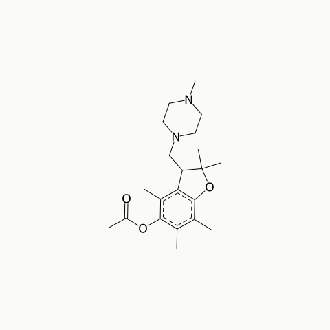 CC(=O)Oc1c(C)c(C)c2c(c1C)C(CN1CCN(C)CC1)C(C)(C)O2